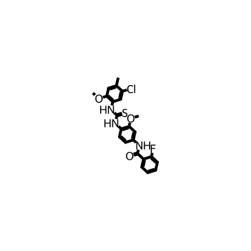 COc1cc(NC(=O)c2ccccc2F)ccc1NC(=S)Nc1cc(Cl)c(C)cc1OC